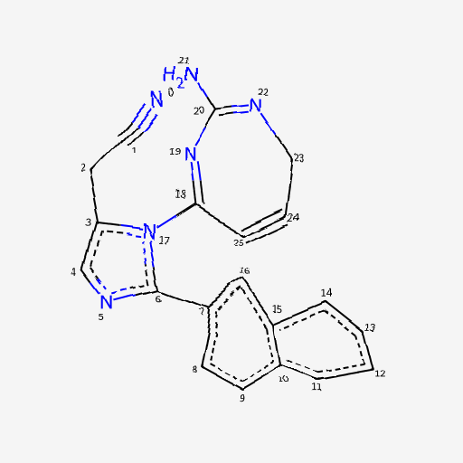 N#CCc1cnc(-c2ccc3ccccc3c2)n1C1=NC(N)=NCC#C1